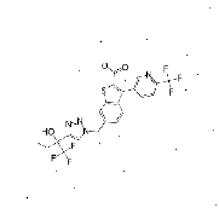 CCC(O)(c1cn(Cc2ccc3c(-c4ccc(C(F)(F)F)nc4)c(C(=O)OC)sc3c2)nn1)C(F)(F)F